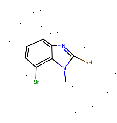 Cn1c(S)nc2cccc(Br)c21